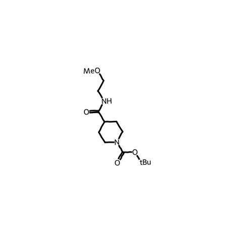 COCCNC(=O)C1CCN(C(=O)OC(C)(C)C)CC1